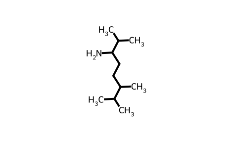 CC(C)C(C)CCC(N)C(C)C